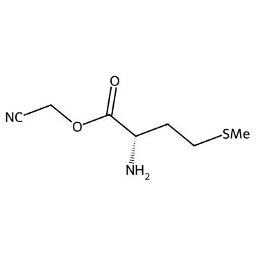 CSCC[C@H](N)C(=O)OCC#N